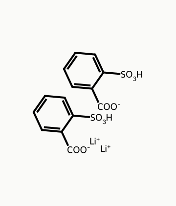 O=C([O-])c1ccccc1S(=O)(=O)O.O=C([O-])c1ccccc1S(=O)(=O)O.[Li+].[Li+]